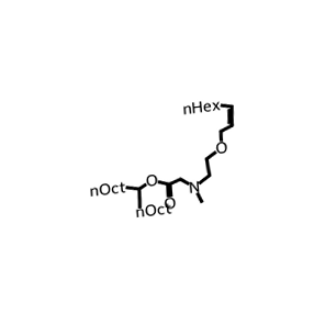 CCCCCC/C=C\COCCN(C)CC(=O)OC(CCCCCCCC)CCCCCCCC